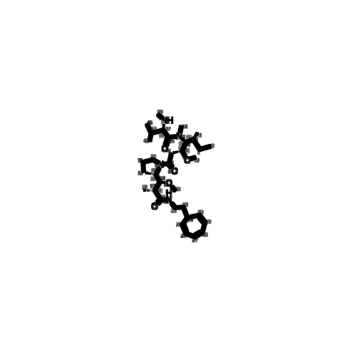 CC[C@H](C)[C@@H]([C@@H](CC(=O)N1CCC[C@H]1[C@H](OC)[C@@H](C)C(=O)NCCC1C=CC=CC=C1)OC)N(C)C(=O)[C@@H](NC)C(C)C